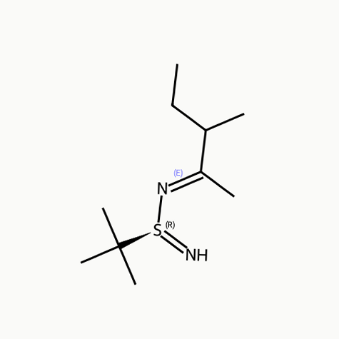 CCC(C)/C(C)=N/[S@@](=N)C(C)(C)C